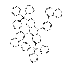 c1ccc([Si](c2ccccc2)(c2ccccc2)c2ccc3c(-c4cccc(-c5cccc6ccccc56)c4)c4ccc([Si](c5ccccc5)(c5ccccc5)c5ccccc5)cc4c(-c4ccc5ccccc5c4)c3c2)cc1